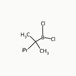 CC(C)C(C)(C)B(Cl)Cl